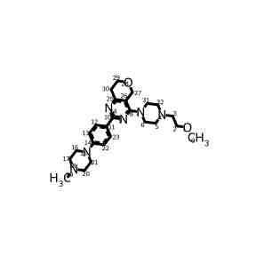 COCCN1CCN(c2nc(-c3ccc(N4CCN(C)CC4)cc3)nc3c2COCC3)CC1